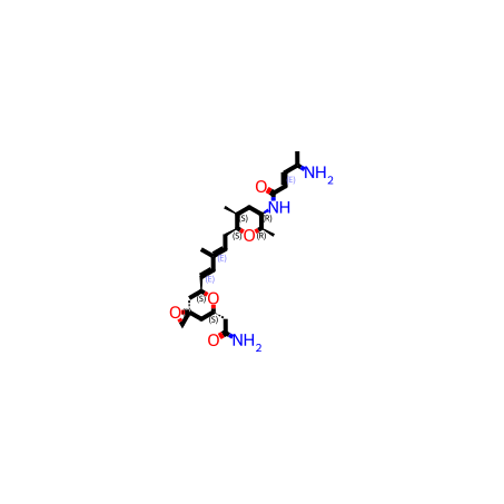 CC(/C=C/[C@@H]1C[C@@]2(CO2)C[C@@H](CC(N)=O)O1)=C\C[C@@H]1O[C@H](C)[C@H](NC(=O)/C=C/C(C)N)C[C@@H]1C